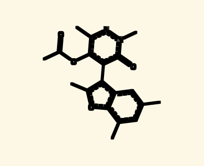 CC(=O)Oc1c(C)nn(C)c(=O)c1-c1c(C)oc2c(C)cc(C)cc12